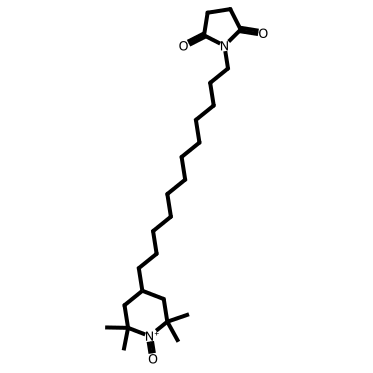 CC1(C)CC(CCCCCCCCCCCCN2C(=O)CCC2=O)CC(C)(C)[N+]1=O